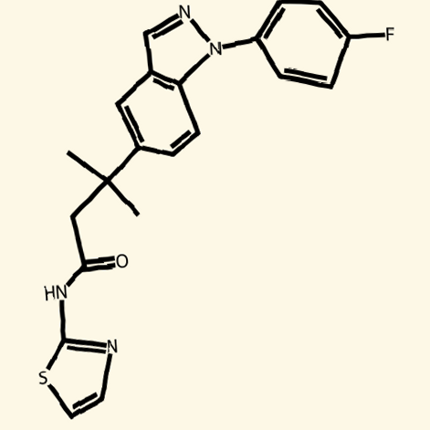 CC(C)(CC(=O)Nc1nccs1)c1ccc2c(cnn2-c2ccc(F)cc2)c1